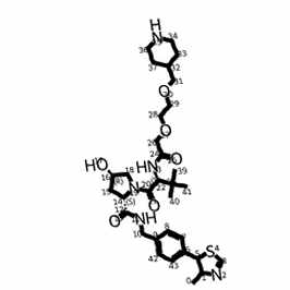 CC1N=CSC1c1ccc(CNC(=O)[C@@H]2C[C@@H](O)CN2C(=O)[C@@H](NC(=O)COCCOCC2CCNCC2)C(C)(C)C)cc1